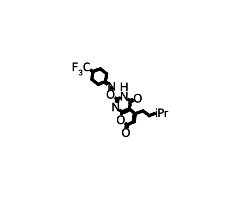 CC(C)CCc1cc(=O)oc2nc(ON=C3CCC(C(F)(F)F)CC3)[nH]c(=O)c12